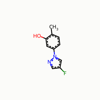 Cc1ccc(-n2cc(F)cn2)cc1O